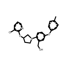 Cc1ccc(Oc2ccc(N3CCC(Oc4ncccc4Cl)C3)c(CO)c2)cc1